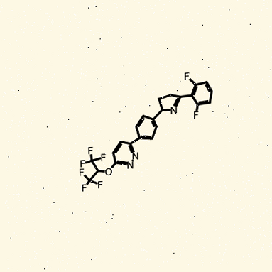 Fc1cccc(F)c1C1=NC(c2ccc(-c3ccc(OC(C(F)(F)F)C(F)(F)F)nn3)cc2)CC1